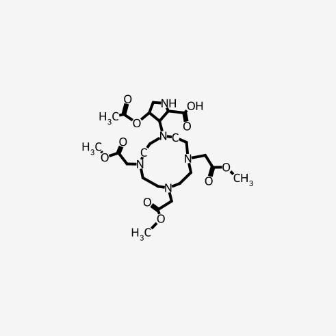 COC(=O)CN1CCN(CC(=O)OC)CCN(C2C(OC(C)=O)CNC2C(=O)O)CCN(CC(=O)OC)CC1